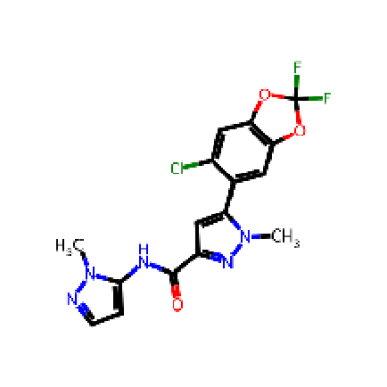 Cn1nccc1NC(=O)c1cc(-c2cc3c(cc2Cl)OC(F)(F)O3)n(C)n1